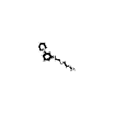 CC(C)OCCOCCOc1cccc(N2CCCCC2)c1